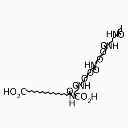 O=C(O)CCCCCCCCCCCCCCCCC(=O)N[C@@H](CCC(=O)NCCOCCOCC(=O)NCCOCCOCC(=O)NCCCCNC(=O)CI)C(=O)O